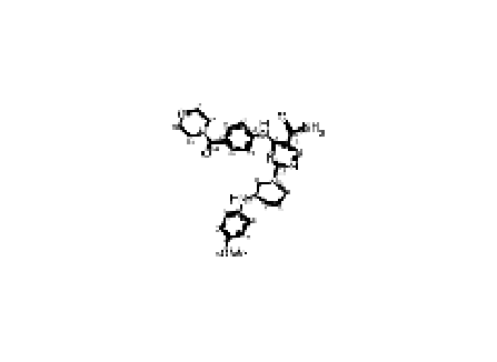 COc1ccc(NC2CCCN(c3nnc(C(N)=O)c(Nc4ccc(C(=O)N5CCOCC5)cc4)n3)C2)cc1